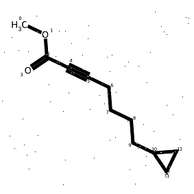 COC(=O)C#CCCCCC1[CH]C1